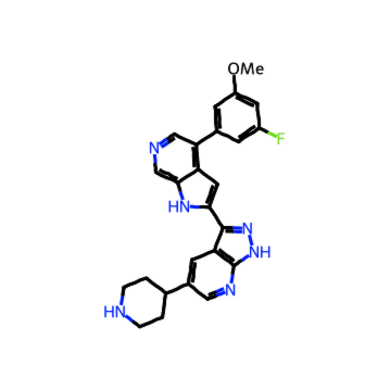 COc1cc(F)cc(-c2cncc3[nH]c(-c4n[nH]c5ncc(C6CCNCC6)cc45)cc23)c1